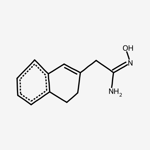 N/C(CC1=Cc2ccccc2CC1)=N/O